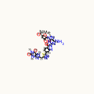 CNC(=O)[C@H]1C[C@@H](O)[C@H](n2cnc3c(N)nc(NC(=O)c4ccc(-c5nnc(Cc6nc7c(c(=O)n(C)c(=O)n7C)n6C)s5)cc4)nc32)O1